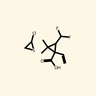 C=CC1(C(=O)O)C(C(F)F)C1(C)C.ClC1CS1